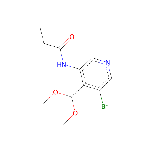 CCC(=O)Nc1cncc(Br)c1C(OC)OC